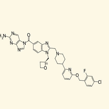 Nc1ncc2c(ncn2C(=O)c2ccc3c(c2)nc(CN2CCC(c4cccc(OCc5ccc(Cl)cc5F)n4)CC2)n3C[C@@H]2CCO2)n1